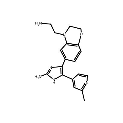 Cc1cc(-c2[nH]c(N)nc2-c2ccc3c(c2)N(CCN)CCO3)ccn1